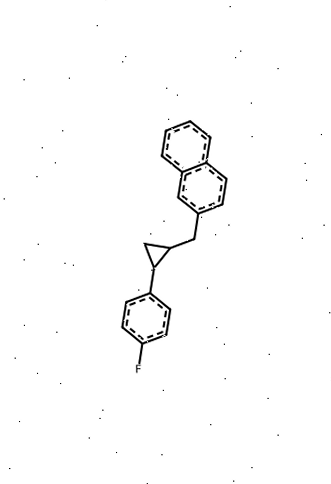 Fc1ccc(C2CC2Cc2ccc3ccccc3c2)cc1